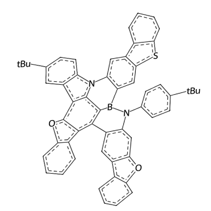 CC(C)(C)c1ccc(N2B3c4cc5sc6ccccc6c5cc4-n4c5ccc(C(C)(C)C)cc5c5c6oc7ccccc7c6c(c3c54)-c3cc4c(cc32)oc2ccccc24)cc1